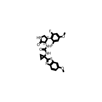 COc1cc(F)c([C@@H]2CNC(=O)[C@H]2NC(=O)NC2(c3nc4ccc(OC)cc4s3)CC2)c(F)c1